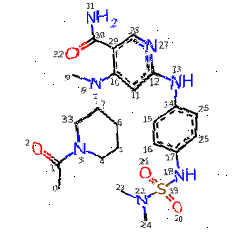 CC(=O)N1CCC[C@@H](N(C)c2cc(Nc3ccc(NS(=O)(=O)N(C)C)cc3)ncc2C(N)=O)C1